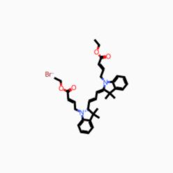 CCOC(=O)/C=C/CN1/C(=C/C=C/C2=[N+](C/C=C/C(=O)OCC)c3ccccc3C2(C)C)C(C)(C)c2ccccc21.[Br-]